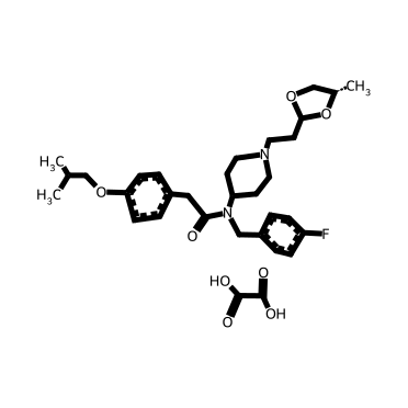 CC(C)COc1ccc(CC(=O)N(Cc2ccc(F)cc2)C2CCN(CCC3OC[C@H](C)O3)CC2)cc1.O=C(O)C(=O)O